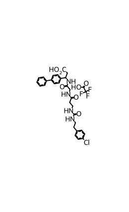 O=C(O)C(F)(F)F.O=C(O)CC(NC(=O)CNC(=O)CCNC(=O)NCCc1ccc(Cl)cc1)c1ccc(-c2ccccc2)cc1